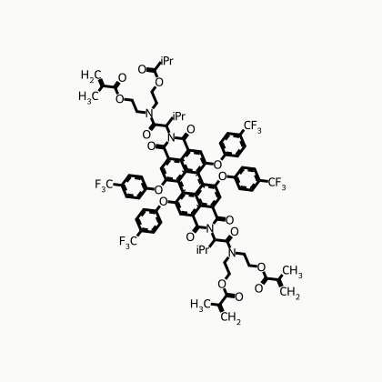 C=C(C)C(=O)OCCN(CCOC(=O)C(=C)C)C(=O)C(C(C)C)N1C(=O)c2cc(Oc3ccc(C(F)(F)F)cc3)c3c4c(Oc5ccc(C(F)(F)F)cc5)cc5c6c(cc(Oc7ccc(C(F)(F)F)cc7)c(c7c(Oc8ccc(C(F)(F)F)cc8)cc(c2c37)C1=O)c64)C(=O)N(C(C(=O)N(CCOC(=O)C(=C)C)CCOC(=O)C(C)C)C(C)C)C5=O